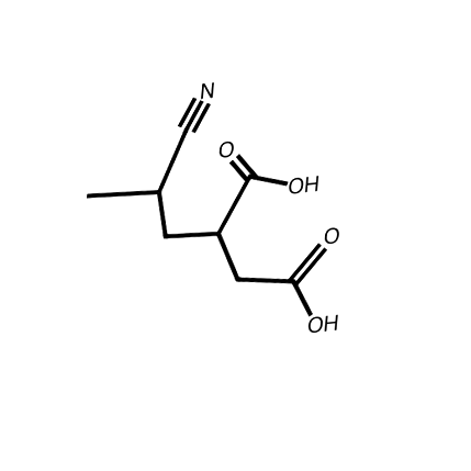 CC(C#N)CC(CC(=O)O)C(=O)O